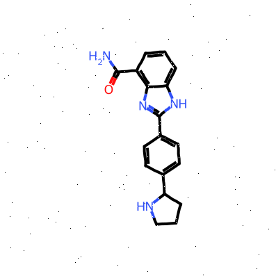 NC(=O)c1cccc2[nH]c(-c3ccc(C4CCCN4)cc3)nc12